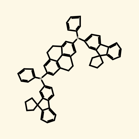 c1ccc(N(c2cc3c4c(c2)CCc2cc(N(c5ccccc5)c5ccc6c(c5)C5(CCCC5)c5ccccc5-6)cc(c2-4)CC3)c2ccc3c(c2)C2(CCCC2)c2ccccc2-3)cc1